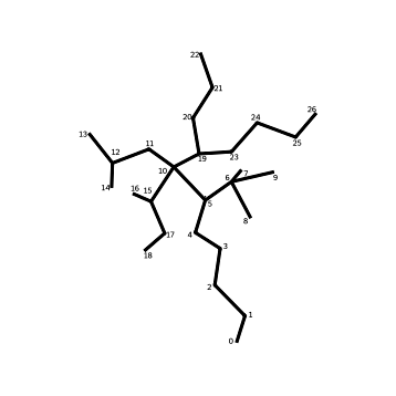 CCCCC[C](C(C)(C)C)C(CC(C)C)(C(C)CC)C(CCC)CCCC